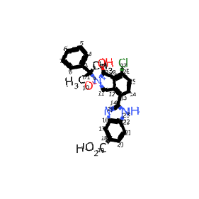 CC(C)(c1ccccc1)[N+]1([O-])Cc2c(-c3nc4cc(C(=O)O)ccc4[nH]3)ccc(Cl)c2C1O